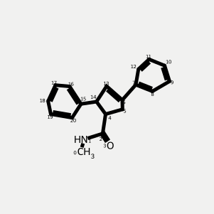 CNC(=O)C1CC(c2ccccc2)=CC1c1ccccc1